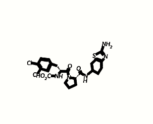 Nc1nc2c(s1)CC(NC(=O)[C@@H]1CCCN1C(=O)[C@@H](Cc1ccc(Cl)c(Cl)c1)NC(=O)O)CC2